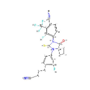 N#CCCCc1ccc(N2C(=S)N(c3ccc(C#N)c(C(F)(F)F)c3F)C(=O)C23CCC3)cc1F